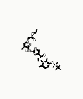 CCOC(=O)Cn1cc(C)c(Nc2ncc(C(=O)Nc3c(C)ccc(O[Si](C)(C)C(C)(C)C)c3C)s2)n1